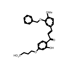 COc1ccc(C=CC(=O)c2ccc(OCCCS(=O)(=O)O)cc2O)cc1OCc1ccccc1